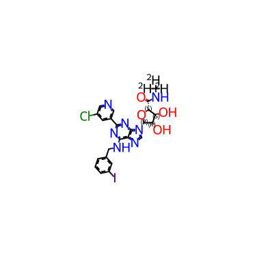 [2H]C([2H])([2H])NC(=O)[C@H]1O[C@@H](n2cnc3c(NCc4cccc(I)c4)nc(-c4cncc(Cl)c4)nc32)[C@H](O)[C@@H]1O